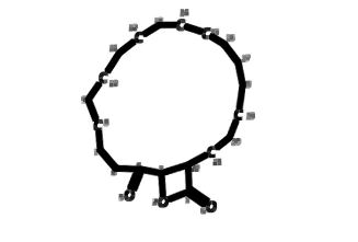 O=C1OC2C(=O)CCCCCCCCCCCCCCCCC12